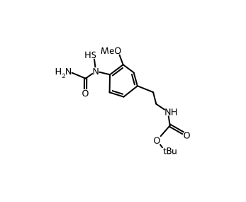 COc1cc(CCNC(=O)OC(C)(C)C)ccc1N(S)C(N)=O